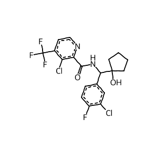 O=C(NC(c1ccc(F)c(Cl)c1)C1(O)CCCC1)c1nccc(C(F)(F)F)c1Cl